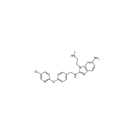 CNCCn1c(NCc2ccc(Oc3ccc(Cl)cn3)cc2)nc2ccc(N)cc21